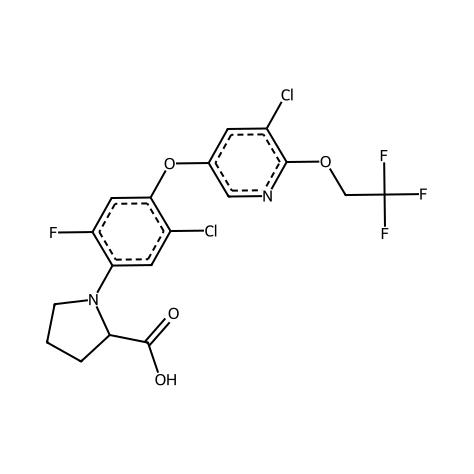 O=C(O)C1CCCN1c1cc(Cl)c(Oc2cnc(OCC(F)(F)F)c(Cl)c2)cc1F